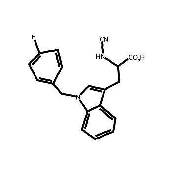 N#CNC(Cc1cn(Cc2ccc(F)cc2)c2ccccc12)C(=O)O